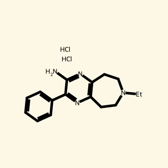 CCN1CCc2nc(N)c(-c3ccccc3)nc2CC1.Cl.Cl